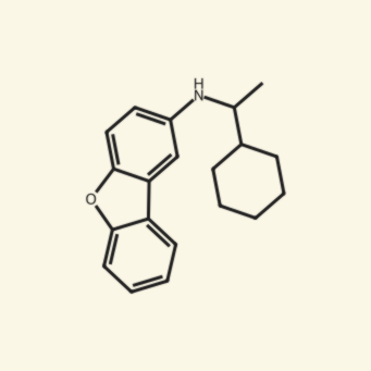 CC(Nc1ccc2oc3ccccc3c2c1)C1CCCCC1